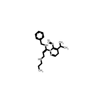 C=NC1=C(C(C)C)CC=NN1/C(=C\CNCCC)NCc1ccccc1